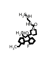 [CH2]CC[C@@](O)(c1cccc(F)c1-c1cccc(CC)c1)[C@@H]1CCCN(C(=O)NCCNC)C1